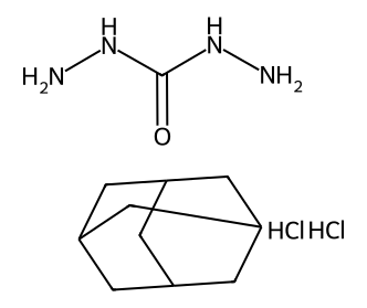 C1C2CC3CC1CC(C2)C3.Cl.Cl.NNC(=O)NN